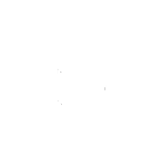 CC(C)c1cncnc1C(F)(F)F